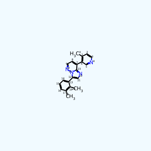 Cc1ccncc1-c1ccnn2c(-c3cccc(C)c3C)cnc12